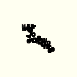 COC(=O)CNC(=O)c1ccc2c(c1)NC(=O)N(C1CCN(C(=O)[C@@H]3C[C@H]3C(=O)c3cc(Br)c(N)c(Br)c3)CC1)C2